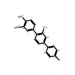 CCCc1ccc(-c2ccc(-c3ccc(C)cc3)cc2F)cc1CCC